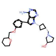 Nc1ncnc2c1c(-c1cccc(OCC3CCCCO3)c1)cn2[C@H]1C[C@@H](CN2CC[C@@H](O)C2)C1